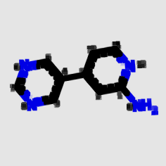 Nc1cc(-c2cncnc2)ccn1